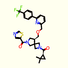 CC1(C)C[C@@H]1C(=O)N1CC2(CN(C(=O)c3cncs3)C[C@H]2COCc2cccc(-c3ccc(C(F)(F)F)cc3)n2)C1